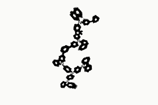 CC1(C)c2cc(N(c3ccc(-c4ccccc4)cc3)c3cccc4ccccc34)ccc2-c2ccc(N(c3ccc(-c4cccc(-c5ccc6c(c5)c5ccccc5n6-c5ccc(N(c6ccc(-n7c8ccccc8c8ccccc87)cc6)c6ccc(-n7c8ccccc8c8ccccc87)cc6)cc5)c4)cc3)c3cccc4ccccc34)cc21